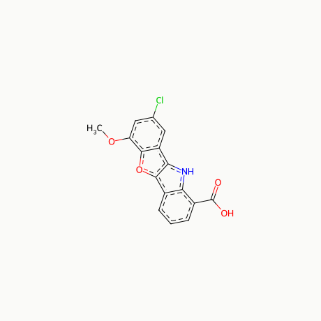 COc1cc(Cl)cc2c1oc1c3cccc(C(=O)O)c3[nH]c21